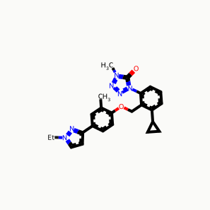 CCn1ccc(-c2ccc(OCc3c(C4CC4)cccc3-n3nnn(C)c3=O)c(C)c2)n1